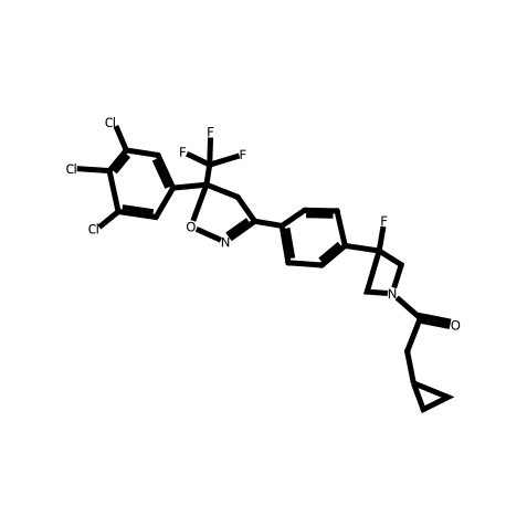 O=C(CC1CC1)N1CC(F)(c2ccc(C3=NOC(c4cc(Cl)c(Cl)c(Cl)c4)(C(F)(F)F)C3)cc2)C1